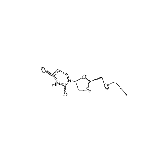 CCOC[C@@H]1OC(n2ccc(=O)[nH]c2=O)CS1